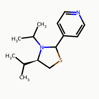 CC(C)[C@@H]1CSC(c2ccncc2)N1C(C)C